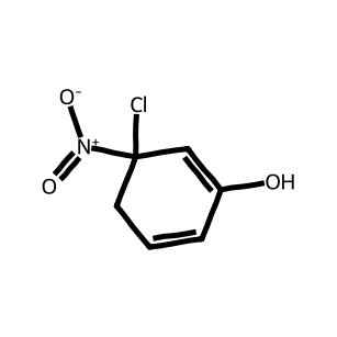 O=[N+]([O-])C1(Cl)C=C(O)C=CC1